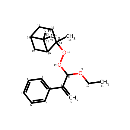 C=C(c1ccccc1)C(OCC)OOC1(C)CCC2CC1C2(C)C